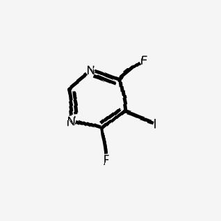 Fc1ncnc(F)c1I